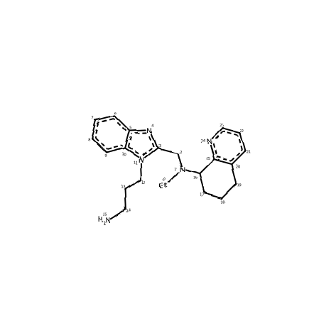 CCN(Cc1nc2ccccc2n1CCCN)C1CCCc2cccnc21